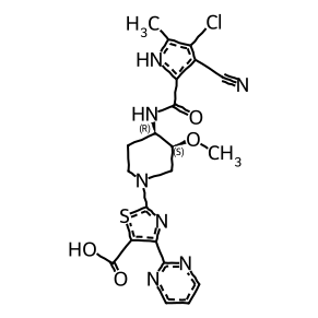 CO[C@H]1CN(c2nc(-c3ncccn3)c(C(=O)O)s2)CC[C@H]1NC(=O)c1[nH]c(C)c(Cl)c1C#N